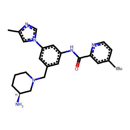 Cc1cn(-c2cc(CN3CCC[C@H](N)C3)cc(NC(=O)c3cc(C(C)(C)C)ccn3)c2)cn1